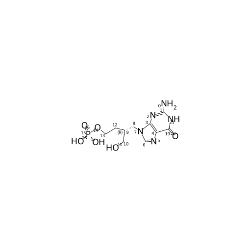 Nc1nc2c(ncn2C[C@H](CO)CCOP(=O)(O)O)c(=O)[nH]1